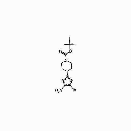 CC(C)(C)OC(=O)N1CCC(n2cc(Br)c(N)n2)CC1